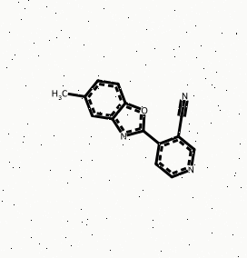 Cc1ccc2oc(-c3ccncc3C#N)nc2c1